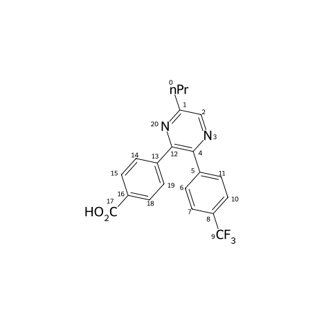 CCCc1cnc(-c2ccc(C(F)(F)F)cc2)c(-c2ccc(C(=O)O)cc2)n1